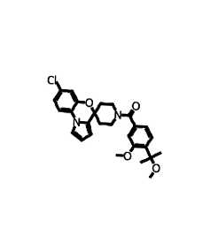 COc1cc(C(=O)N2CCC3(CC2)Oc2cc(Cl)ccc2-n2cccc23)ccc1C(C)(C)OC